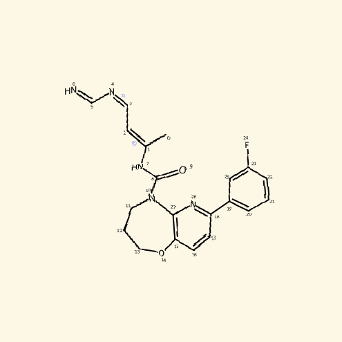 C/C(=C\C=N/C=N)NC(=O)N1CCCOc2ccc(-c3cccc(F)c3)nc21